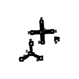 [Cl][Os]([Cl])[Cl].[O]=[Os](=[O])(=[O])=[O].[Pt]